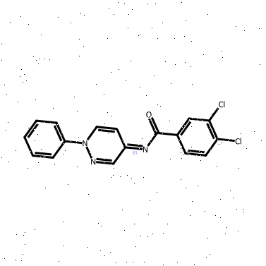 O=C(/N=c1\ccn(-c2ccccc2)nc1)c1ccc(Cl)c(Cl)c1